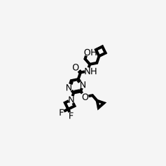 O=C(NC(CO)CC1CCC1)c1cnc(N2CC(F)(F)C2)c(OCC2CC2)n1